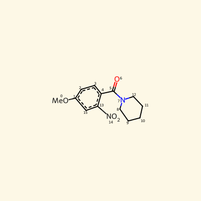 COc1ccc(C(=O)N2CCCCC2)c([N+](=O)[O-])c1